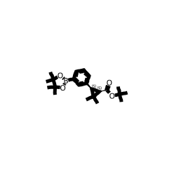 CC(C)(C)OC(=O)[C@H]1[C@H](c2cccc(B3OC(C)(C)C(C)(C)O3)c2)C1(C)C